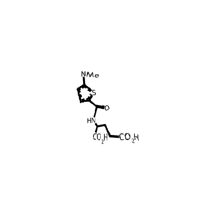 CNc1ccc(C(=O)NC(CCC(=O)O)C(=O)O)s1